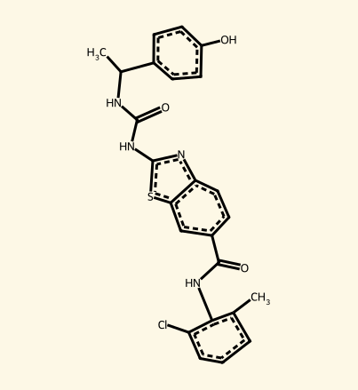 Cc1cccc(Cl)c1NC(=O)c1ccc2nc(NC(=O)NC(C)c3ccc(O)cc3)sc2c1